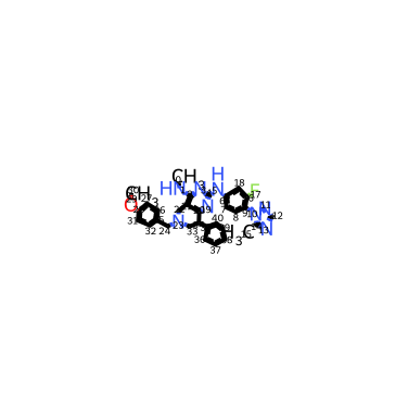 CNc1nc(Nc2ccc(-n3ncnc3C)c(F)c2)nc2c1CN(Cc1ccc(OC)cc1)CC2c1ccccc1